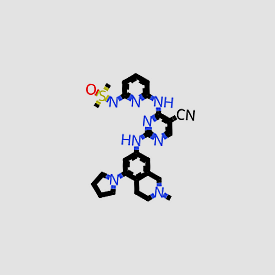 CN1CCc2c(cc(Nc3ncc(C#N)c(Nc4cccc(N=S(C)(C)=O)n4)n3)cc2N2CCCC2)C1